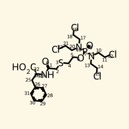 O=C(CSCCOP(=O)(N(CCCl)CCCl)N(CCCl)CCCl)N[C@@H](Cc1ccccc1)C(=O)O